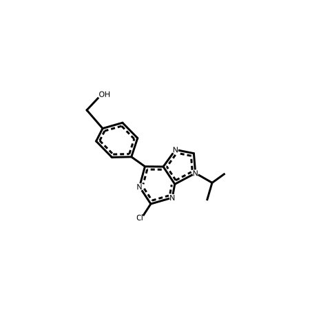 CC(C)n1cnc2c(-c3ccc(CO)cc3)nc(Cl)nc21